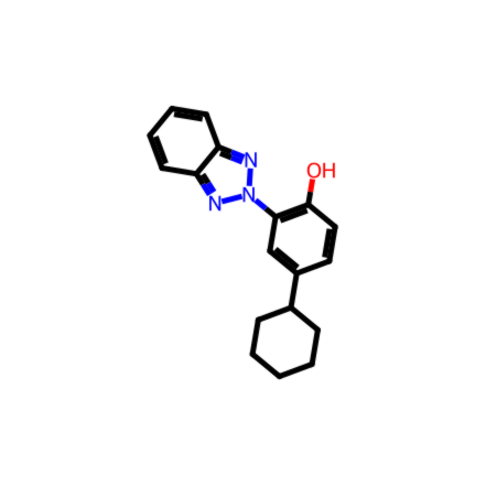 Oc1ccc(C2CCCCC2)cc1-n1nc2ccccc2n1